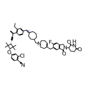 C=C(C#C[C@H]1C(C)(C)[C@H](Oc2ccc(C#N)c(Cl)c2)C1(C)C)c1ccc(/C=C2/CCCC(CN3CCC=C(Cc4cc5c(cc4F)CN(C4CCC(=O)NC4=O)C5=O)CC3)CC2)cc1CC